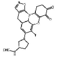 O=CNC1CCN(C2=CC3Cc4cnoc4N4C5=C(OC(=C2F)C34)C(=O)C(=O)CC5)C1